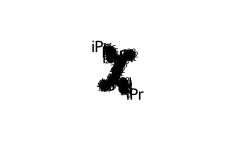 CC(C)c1ccc2c(Nc3cc(N4CCN(c5ccc(Sc6ccccc6)c(Nc6ccnc7nc(C(C)C)ccc67)c5)CC4)ccc3Sc3ccccc3)ccnc2n1